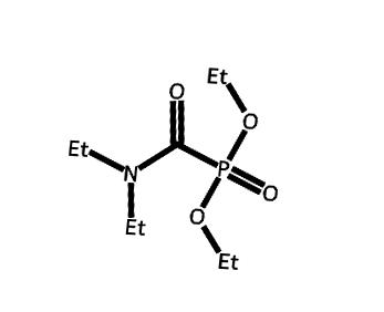 CCOP(=O)(OCC)C(=O)N(CC)CC